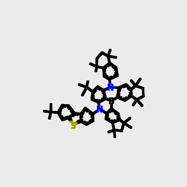 CC(C)(C)c1cc2c3c(c1)N(c1ccc4sc5cc(C(C)(C)C)ccc5c4c1)c1cc4c(cc1B3c1cc3c(cc1N2c1ccc2c(c1)C(C)(C)CCC2(C)C)C(C)(C)CCC3(C)C)C(C)(C)CC4(C)C